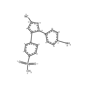 CS(=O)(=O)c1ccc(-c2cc(C#N)nn2-c2ccc(N)cc2)cc1